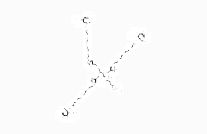 C[C@H]1[C@H]2OC[C@](COCCOCCOCCOCCn3cc(COCC(OCc4cn(CCOCCOCCOCCOC[C@@]56CO[C@@H](O5)[C@H](C)[C@@H](O)[C@H]6O)nn4)C(CNC(=O)CCCN)OCc4cn(CCOCCOCCOCCOC[C@@]56CO[C@@H](O5)[C@H](C)[C@@H](O)[C@H]6O)nn4)nn3)(O2)[C@H](O)[C@@H]1O